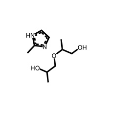 CC(O)COC(C)CO.Cc1ncc[nH]1